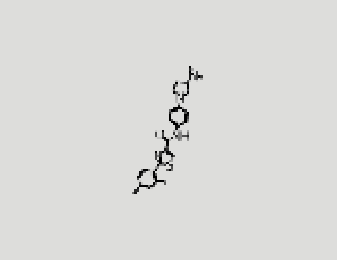 Cc1ccc(-c2nc(C(=O)Nc3ccc(N4CCC(N(C)C)C4)cc3)cs2)c(C)c1